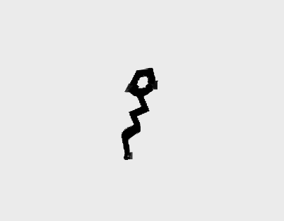 ClCCCCc1nccs1